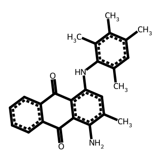 Cc1cc(C)c(Nc2cc(C)c(N)c3c2C(=O)c2ccccc2C3=O)c(C)c1C